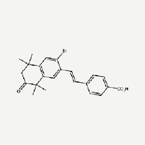 CC1(C)CC(=O)C(C)(C)c2cc(C=Cc3ccc(C(=O)O)cc3)c(Br)cc21